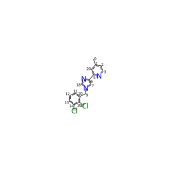 Cc1ccnc(-c2cn(Cc3cccc(Cl)c3Cl)cn2)c1